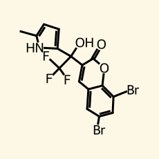 Cc1ccc(C(O)(c2cc3cc(Br)cc(Br)c3oc2=O)C(F)(F)F)[nH]1